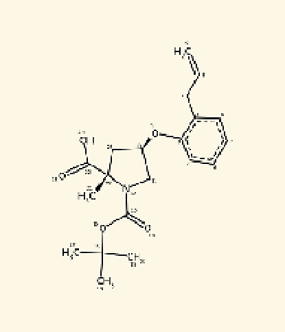 C=CCc1ccccc1O[C@H]1CN(C(=O)OC(C)(C)C)[C@](C)(C(=O)O)C1